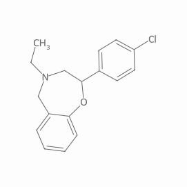 CCN1Cc2ccccc2OC(c2ccc(Cl)cc2)C1